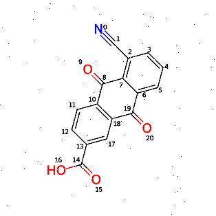 N#Cc1cccc2c1C(=O)c1ccc(C(=O)O)cc1C2=O